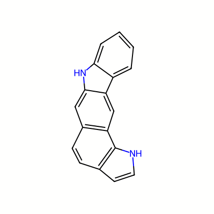 c1ccc2c(c1)[nH]c1cc3ccc4cc[nH]c4c3cc12